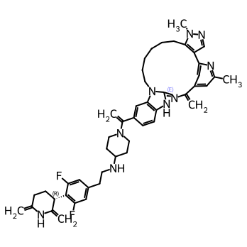 C=C1CC[C@H](c2c(F)cc(CCNC3CCN(C(=C)c4ccc5c(c4)N4CCCCCCc6c(cnn6C)-c6cc(cc(C)n6)C(=C)/N=C/4N5)CC3)cc2F)C(=C)N1